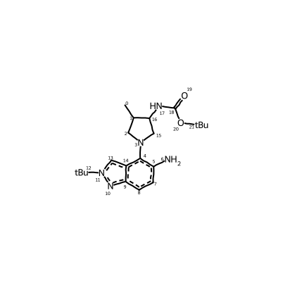 CC1CN(c2c(N)ccc3nn(C(C)(C)C)cc23)CC1NC(=O)OC(C)(C)C